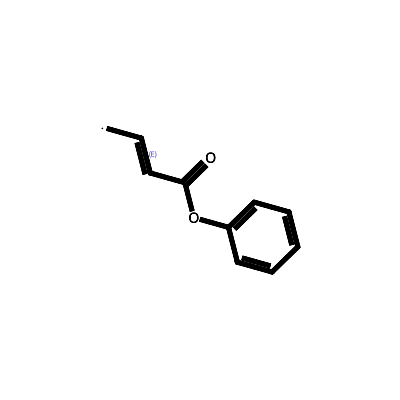 [CH2]/C=C/C(=O)Oc1ccccc1